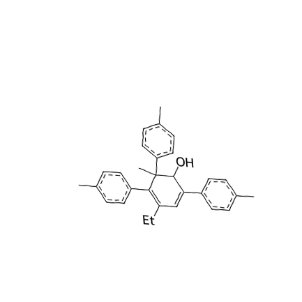 CCC1=C(c2ccc(C)cc2)C(C)(c2ccc(C)cc2)C(O)C(c2ccc(C)cc2)=C1